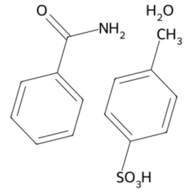 Cc1ccc(S(=O)(=O)O)cc1.NC(=O)c1ccccc1.O